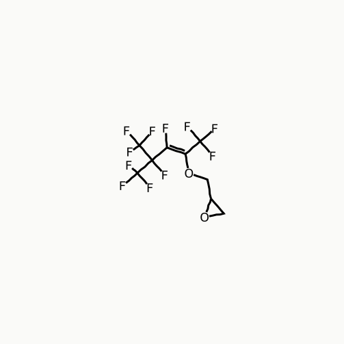 FC(=C(OCC1CO1)C(F)(F)F)C(F)(C(F)(F)F)C(F)(F)F